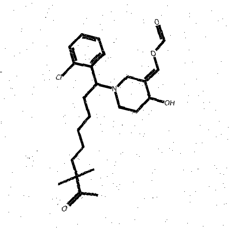 CC(=O)C(C)(C)CCCCCC(c1ccccc1Cl)N1CCC(O)C(=COC=O)C1